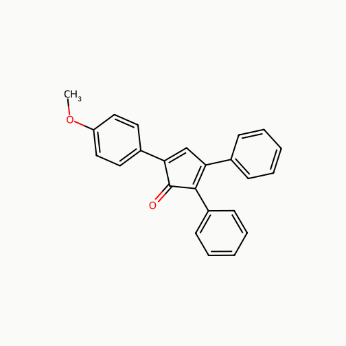 COc1ccc(C2=CC(c3ccccc3)=C(c3ccccc3)C2=O)cc1